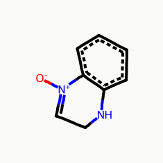 [O-][N+]1=CCNc2ccccc21